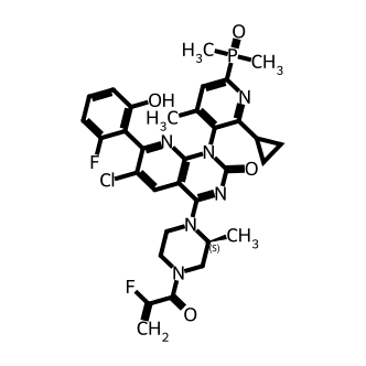 C=C(F)C(=O)N1CCN(c2nc(=O)n(-c3c(C)cc(P(C)(C)=O)nc3C3CC3)c3nc(-c4c(O)cccc4F)c(Cl)cc23)[C@@H](C)C1